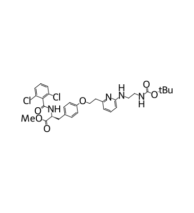 COC(=O)[C@H](Cc1ccc(OCCc2cccc(NCCNC(=O)OC(C)(C)C)n2)cc1)NC(=O)c1c(Cl)cccc1Cl